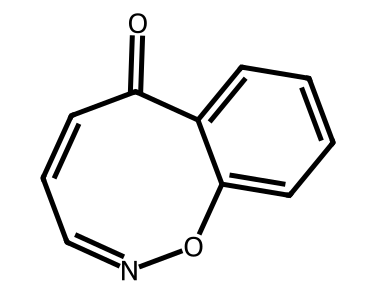 O=C1C=CC=NOc2ccccc21